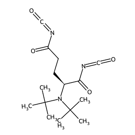 CC(C)(C)N([C@@H](CCC(=O)N=C=O)C(=O)N=C=O)C(C)(C)C